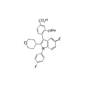 COc1cc(C(=O)O)ccc1-c1c(C2CCOCC2)n(-c2ccc(F)cc2)c2ccc(F)cc12